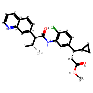 C[C@H]([C@H](C(=O)Nc1cc([C@@H](CC(=O)OC(C)(C)C)C2CC2)ccc1Cl)c1ccc2cccnc2c1)C(F)(F)F